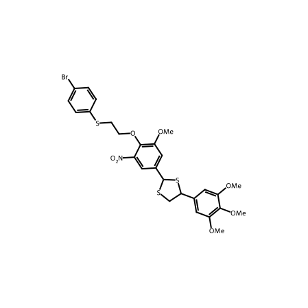 COc1cc(C2CSC(c3cc(OC)c(OCCSc4ccc(Br)cc4)c([N+](=O)[O-])c3)S2)cc(OC)c1OC